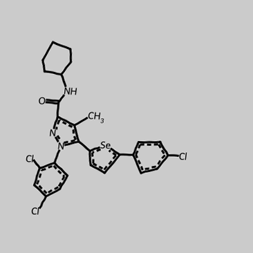 Cc1c(C(=O)NC2CCCCC2)nn(-c2ccc(Cl)cc2Cl)c1-c1ccc(-c2ccc(Cl)cc2)[se]1